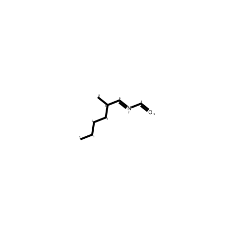 CCCCC(C)/C=N/C=O